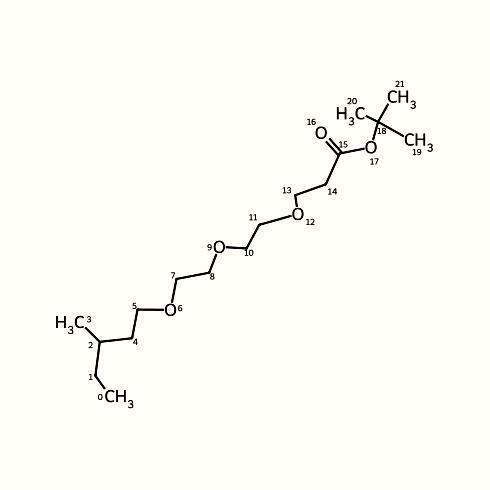 CCC(C)CCOCCOCCOCCC(=O)OC(C)(C)C